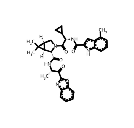 Cc1cccc2[nH]c(C(=O)N[C@H](C(=O)N3C[C@H]4[C@@H]([C@H]3C(=O)N[C@@H](C)C(=O)c3nc5ccccc5s3)C4(C)C)C3CC3)cc12